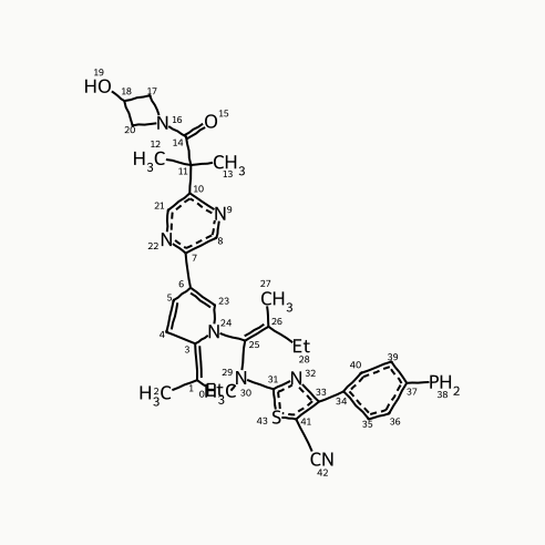 CC/C(C)=C1/C=CC(c2cnc(C(C)(C)C(=O)N3CC(O)C3)cn2)=CN1/C(=C(\C)CC)N(C)c1nc(-c2ccc(P)cc2)c(C#N)s1